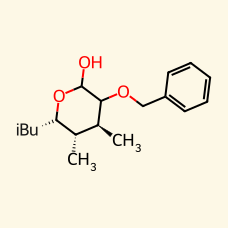 CC[C@@H](C)C1OC(O)C(OCc2ccccc2)[C@@H](C)[C@@H]1C